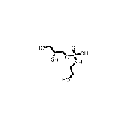 O=P(O)(NCCO)OC[C@H](O)CO